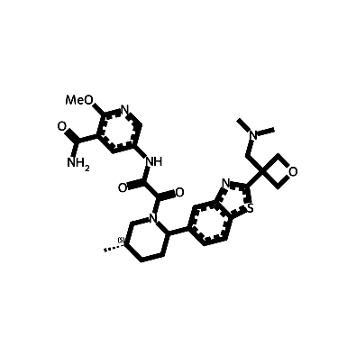 COc1ncc(NC(=O)C(=O)N2C[C@@H](C)CCC2c2ccc3sc(C4(CN(C)C)COC4)nc3c2)cc1C(N)=O